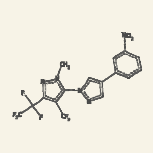 Cn1nc(C(F)(F)C(F)(F)F)c(C(F)(F)F)c1-n1cc(-c2cccc([N+](=O)[O-])c2)cn1